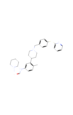 Cc1ccc(N(C=O)[C@H]2CCCCN2)cc1C1CCN(Cc2ccc(Sc3ccccn3)cc2)CC1